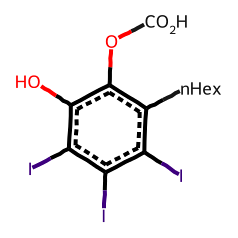 CCCCCCc1c(I)c(I)c(I)c(O)c1OC(=O)O